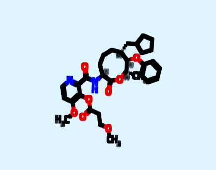 COCCC(=O)Oc1c(OC)ccnc1C(=O)N[C@H]1CCC[C@H](CC2CCCC2)[C@@H](Oc2ccccc2)[C@H](C)OC1=O